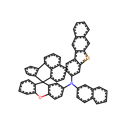 c1ccc2c(c1)Oc1ccc(N(c3ccc4ccccc4c3)c3ccc4c(c3)sc3cc5ccccc5cc34)cc1C21c2ccccc2-c2cccc3cccc1c23